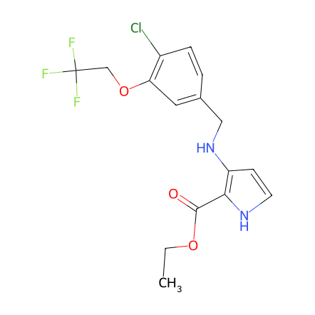 CCOC(=O)c1[nH]ccc1NCc1ccc(Cl)c(OCC(F)(F)F)c1